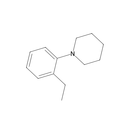 CCc1ccccc1N1CCCCC1